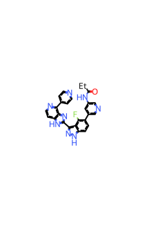 CCC(=O)Nc1cncc(-c2ccc3[nH]nc(-c4nc5c(-c6ccncc6)nccc5[nH]4)c3c2F)c1